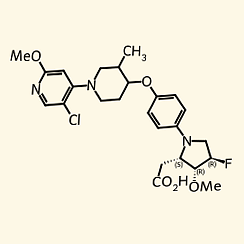 COc1cc(N2CCC(Oc3ccc(N4C[C@@H](F)[C@H](OC)[C@@H]4CC(=O)O)cc3)C(C)C2)c(Cl)cn1